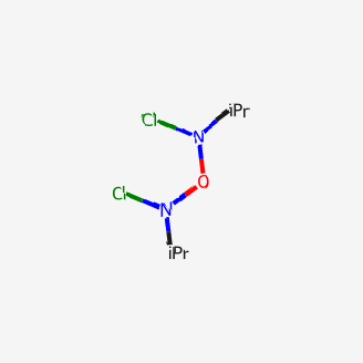 CC(C)N(Cl)ON(Cl)C(C)C